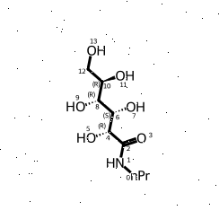 [CH2]CCNC(=O)[C@H](O)[C@@H](O)[C@H](O)[C@H](O)CO